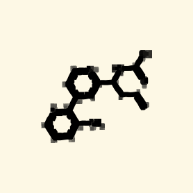 C=CCC(NC(=O)O)c1cc(-c2ncccc2N)ccn1